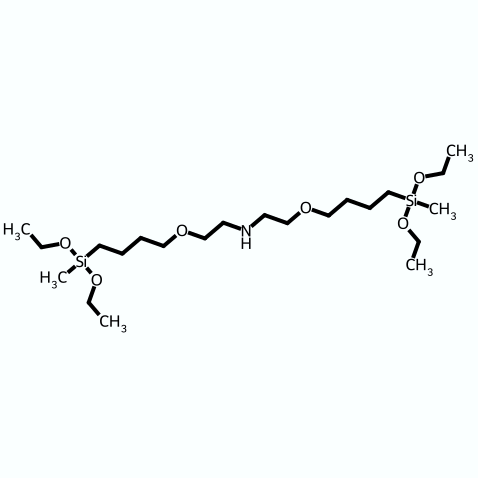 CCO[Si](C)(CCCCOCCNCCOCCCC[Si](C)(OCC)OCC)OCC